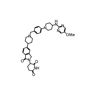 COc1cnc(NC2CCN(c3ccc(CN4CCC(c5ccc6c(c5)CN(C5CCC(=O)NC5=O)C6=O)CC4)cc3)CC2)nc1